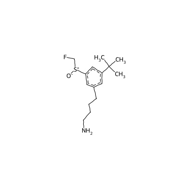 CC(C)(C)c1cc(CCCCN)cc([S+]([O-])CF)c1